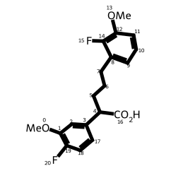 COc1cc(C(CCCc2cccc(OC)c2F)C(=O)O)ccc1F